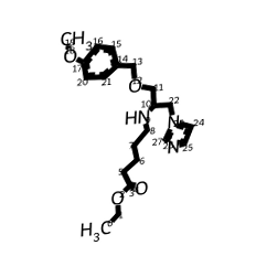 CCOC(=O)CCCCNC(COCc1ccc(OC)cc1)Cn1ccnc1